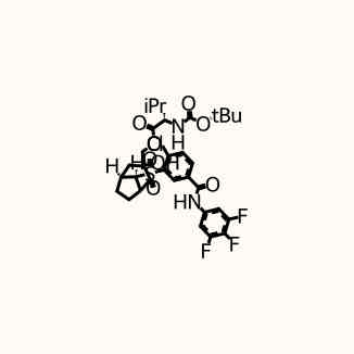 CC(C)[C@H](NC(=O)OC(C)(C)C)C(=O)OC[C@]1(O)CC2CC[C@@H](C1)[C@H]2S(=O)(=O)c1cc(C(=O)Nc2cc(F)c(F)c(F)c2)ccc1Cl